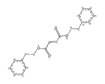 O=C(C=CC(=O)OCCc1ccccc1)OCCc1ccccc1